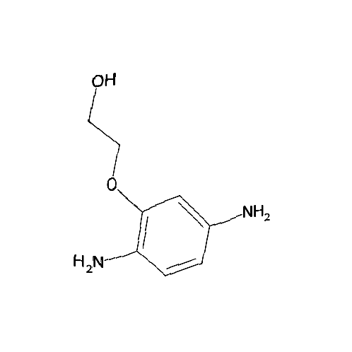 Nc1ccc(N)c(OCCO)c1